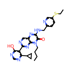 CCCCn1c(=O)c(NCc2ccc(SCC)cn2)nc2cnc(-c3c(O)ncnc3C3CC3)nc21